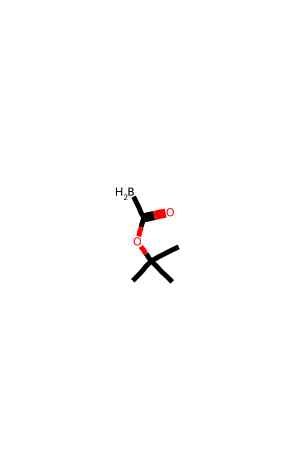 BC(=O)OC(C)(C)C